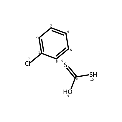 Clc1ccccc1.OC(=S)S